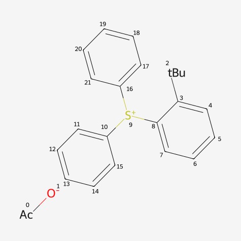 CC(=O)[O-].CC(C)(C)c1ccccc1[S+](c1ccccc1)c1ccccc1